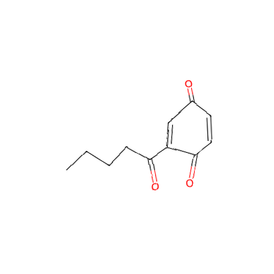 CCCCC(=O)C1=CC(=O)C=CC1=O